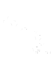 O=C(Cc1ccc(C(F)(F)F)cc1)N1CCC(Oc2ccc(N(C(=O)C3CNC3)c3cccnn3)cc2)CC1